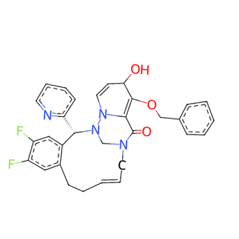 O=C1C2=C(OCc3ccccc3)C(O)C=CN2N2CN1C/C=C/CCc1cc(F)c(F)cc1[C@@H]2c1ccccn1